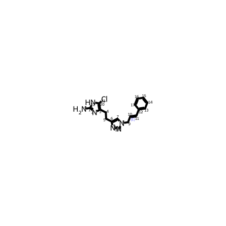 Nc1nc(CCc2cn(C/C=C/c3ccccc3)nn2)c(Cl)[nH]1